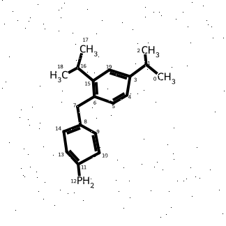 CC(C)c1ccc(Cc2ccc(P)cc2)c(C(C)C)c1